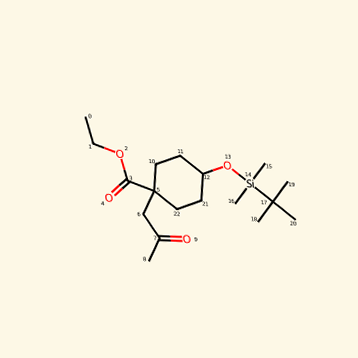 CCOC(=O)C1(CC(C)=O)CCC(O[Si](C)(C)C(C)(C)C)CC1